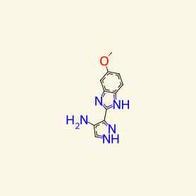 COc1ccc2[nH]c(-c3n[nH]cc3N)nc2c1